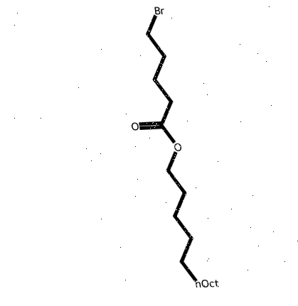 CCCCCCCCCCCCCOC(=O)CCCCBr